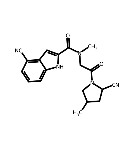 CC1CC(C#N)N(C(=O)CN(C)C(=O)c2cc3c(C#N)cccc3[nH]2)C1